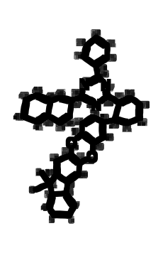 CC1(C)c2ccccc2-c2cc3c(cc21)Oc1ccc(-c2ccccc2-c2nc(-c4ccccc4)nc(-c4ccc5ccccc5c4)n2)cc1O3